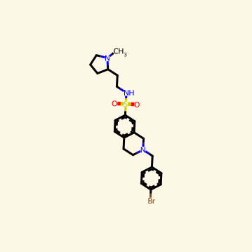 CN1CCCC1CCNS(=O)(=O)c1ccc2c(c1)CN(Cc1ccc(Br)cc1)CC2